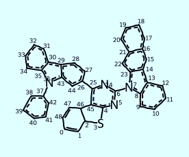 C1=CC2Sc3nc(-n4c5ccccc5c5cc6ccccc6cc54)nc(-c4ccc5c6ccccc6n(-c6ccccc6)c5c4)c3C2C=C1